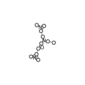 c1ccc(-c2ccc(N(c3ccc(-c4ccc5c(c4)c4ccccc4n5-c4ccccc4)cc3)c3ccc4c(c3)oc3cc(-c5cc6c7ccccc7n7c8ccccc8c(c5)c67)ccc34)cc2)cc1